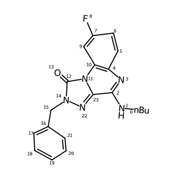 CCCCNc1nc2ccc(F)cc2n2c(=O)n(Cc3ccccc3)nc12